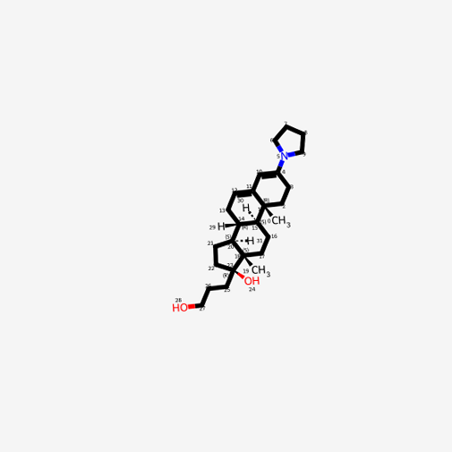 C[C@]12CCC(N3CCCC3)=CC1=CC[C@@H]1[C@@H]2CC[C@@]2(C)[C@H]1CC[C@@]2(O)CCCO